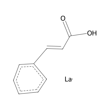 O=C(O)C=Cc1ccccc1.[La]